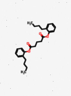 CCCCc1ccccc1OC(=O)CCCC(=O)Oc1ccccc1CCCC